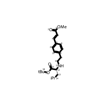 COC(=O)/C=C/c1ccc(CCN[C@H](CC(C)C)C(=O)OC(C)(C)C)cc1